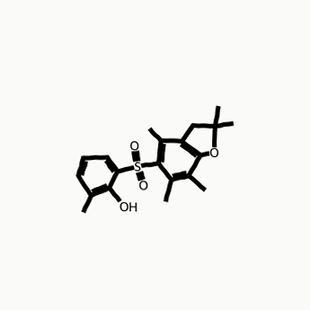 Cc1cccc(S(=O)(=O)c2c(C)c(C)c3c(c2C)CC(C)(C)O3)c1O